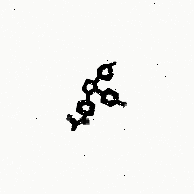 CC(=O)Nc1ccc(C2CCC(c3ccc(C)cc3)N2c2ccc(F)cc2)cc1